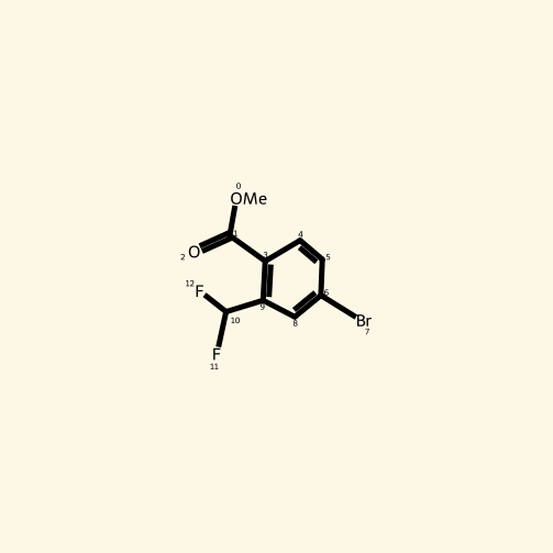 COC(=O)c1ccc(Br)cc1C(F)F